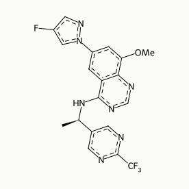 COc1cc(-n2cc(F)cn2)cc2c(N[C@H](C)c3cnc(C(F)(F)F)nc3)ncnc12